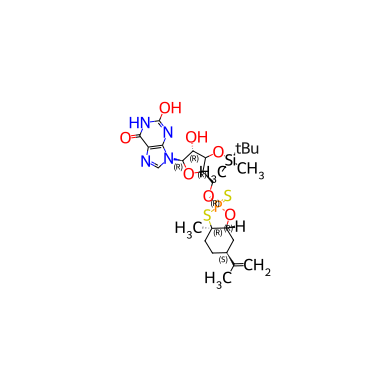 C=C(C)[C@H]1CC[C@@]2(C)S[P@](=S)(OC[C@H]3O[C@@H](n4cnc5c(=O)[nH]c(O)nc54)[C@H](O)C3O[Si](C)(C)C(C)(C)C)O[C@@H]2C1